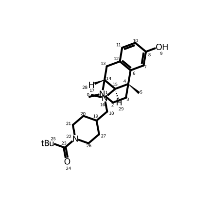 CN1CC[C@@]2(C)c3cc(O)ccc3C[C@@H]1[C@@H]2N(C)CC1CCN(C(=O)C(C)(C)C)CC1